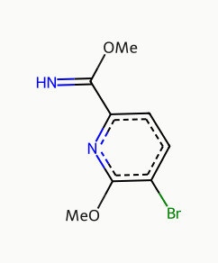 COC(=N)c1ccc(Br)c(OC)n1